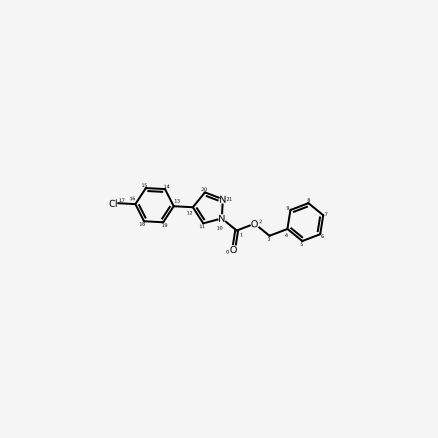 O=C(OCc1ccccc1)n1cc(-c2ccc(Cl)cc2)cn1